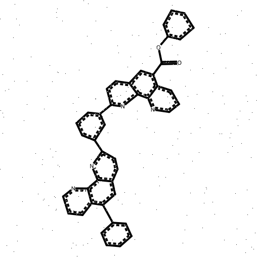 O=C(Oc1ccccc1)c1cc2ccc(-c3cccc(-c4ccc5cc(-c6ccccc6)c6cccnc6c5n4)c3)nc2c2ncccc12